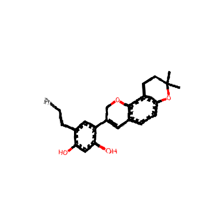 CC(C)CCc1cc(C2=Cc3ccc4c(c3OC2)CCC(C)(C)O4)c(O)cc1O